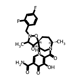 CC1C(=O)[C@]2(CC[C@H](C)N3C[C@H]2n2cc(C(N)=O)c(=O)c(O)c2C3=O)ON1Cc1ccc(F)cc1F